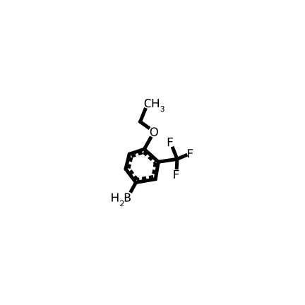 Bc1ccc(OCC)c(C(F)(F)F)c1